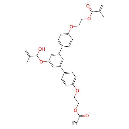 C=C(C)C(=O)OCCOc1ccc(-c2cc(OC(O)C(=C)C)cc(-c3ccc(OCCOC(=O)C(C)C)cc3)c2)cc1